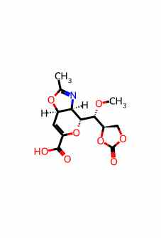 CO[C@@H]([C@@H]1OC(C(=O)O)=C[C@H]2OC(C)=N[C@@H]12)[C@H]1COC(=O)O1